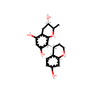 CC1Oc2c(c(O)cc(O)c2[C@@H]2CCOc3cc(O)ccc32)C[C@@H]1O